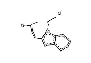 CC[n+]1c(/C=C(\C)Cl)sc2ccccc21.[Cl-]